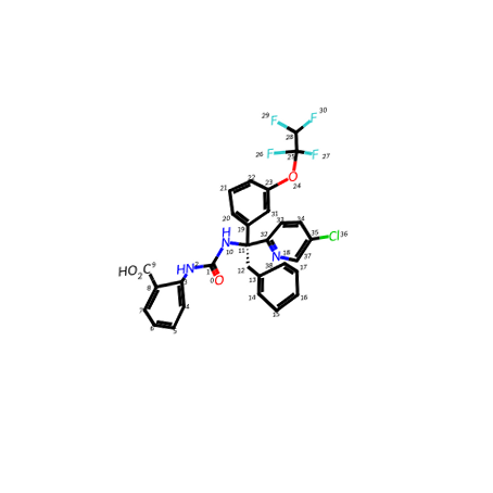 O=C(Nc1ccccc1C(=O)O)N[C@@](Cc1ccccc1)(c1cccc(OC(F)(F)C(F)F)c1)c1ccc(Cl)cn1